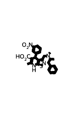 CC1=C(C(=O)O)C(c2cccc([N+](=O)[O-])c2)c2c(CN(C)C(C)Cc3ccccc3)nsc2N1